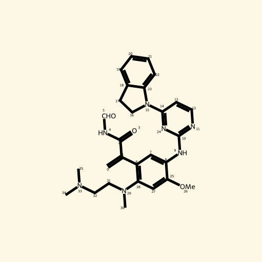 C=C(C(=O)NC=O)c1cc(Nc2nccc(N3CCc4ccccc43)n2)c(OC)cc1N(C)CCN(C)C